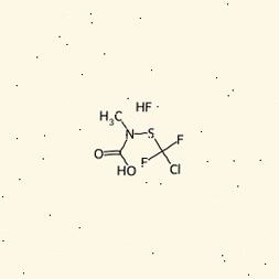 CN(SC(F)(F)Cl)C(=O)O.F